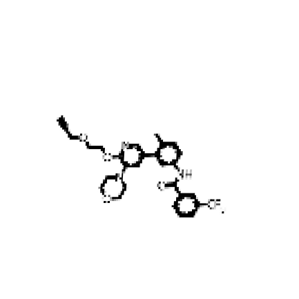 C#CCOCCOc1ncc(-c2cc(NC(=O)c3cccc(C(F)(F)F)c3)ccc2C)cc1N1CCOCC1